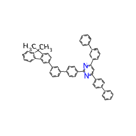 CC1(C)c2ccccc2-c2cc(-c3cccc(-c4ccc(-c5nc(-c6ccc(-c7ccccc7)cc6)cc(-c6cccc(-c7ccccc7)c6)n5)cc4)c3)ccc21